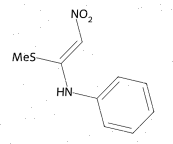 CSC(=C[N+](=O)[O-])Nc1ccccc1